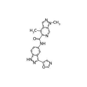 Cc1c(C(=O)Nc2ccc3[nH]nc(-c4cnco4)c3c2)ncc2c1cnn2C